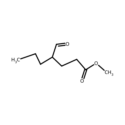 CCCC(C=O)CCC(=O)OC